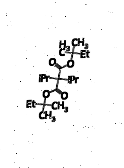 CCC(C)(C)OC(=O)C(C(=O)OC(C)(C)CC)(C(C)C)C(C)C